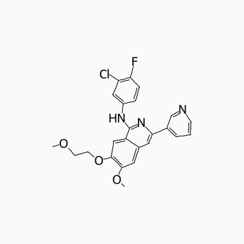 COCCOc1cc2c(Nc3ccc(F)c(Cl)c3)nc(-c3cccnc3)cc2cc1OC